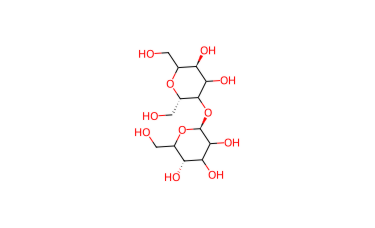 OCC1O[C@@H](OC2C(O)[C@H](O)C(CO)O[C@H]2CO)C(O)C(O)[C@@H]1O